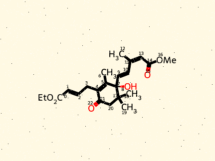 CCOC(=O)/C=C/CC1=C(C)[C@](O)(/C=C/C(C)=C\C(=O)OC)C(C)(C)CC1=O